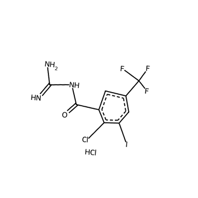 Cl.N=C(N)NC(=O)c1cc(C(F)(F)F)cc(I)c1Cl